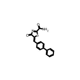 NC(=O)C1=NC(=O)C(=Cc2ccc(-c3ccccc3)cc2)S1